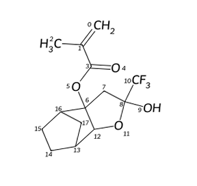 C=C(C)C(=O)OC12CC(O)(C(F)(F)F)OC1C1CCC2C1